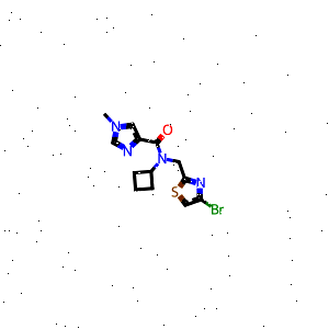 Cn1cnc(C(=O)N(Cc2nc(Br)cs2)C2CCC2)c1